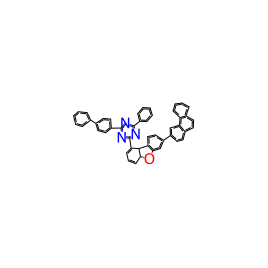 C1=CC2Oc3cc(-c4ccc5ccc6ccccc6c5c4)ccc3C2C(c2nc(-c3ccccc3)nc(-c3ccc(-c4ccccc4)cc3)n2)=C1